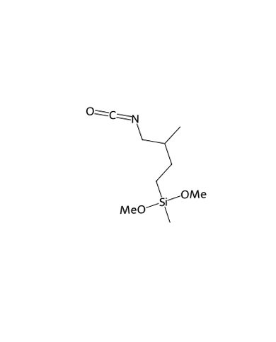 CO[Si](C)(CCC(C)CN=C=O)OC